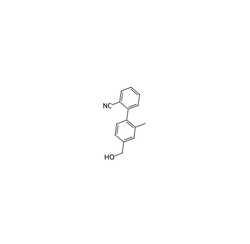 Cc1cc(CO)ccc1-c1ccccc1C#N